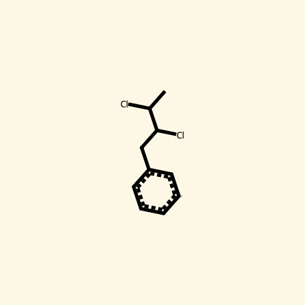 CC(Cl)C(Cl)Cc1c[c]ccc1